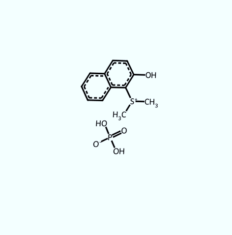 C[S+](C)c1c(O)ccc2ccccc12.O=P([O-])(O)O